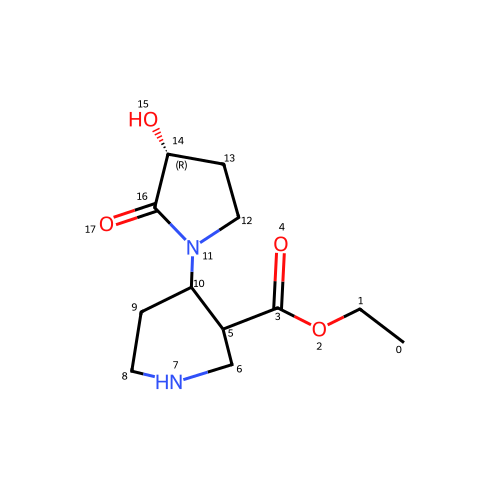 CCOC(=O)C1CNCCC1N1CC[C@@H](O)C1=O